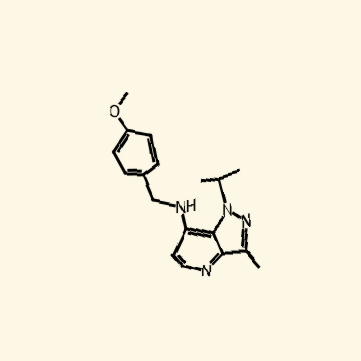 COc1ccc(CNc2ccnc3c(C)nn(C(C)C)c23)cc1